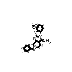 COc1ccccc1Nc1nc(N)c2c(n1)CN(Cc1ccccc1)CC2